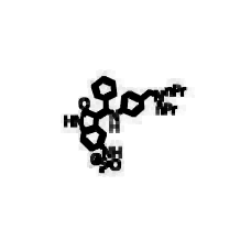 CCCN(CCC)Cc1ccc(NC(=C2C(=O)Nc3ccc(NS(C)(=O)=O)cc32)c2ccccc2)cc1